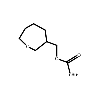 CCC[CH]C(=O)OCC1CCCCCC1